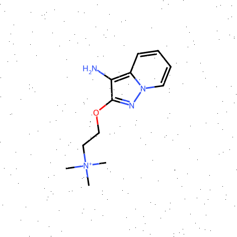 C[N+](C)(C)CCOc1nn2ccccc2c1N